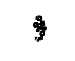 NC(=O)c1ccccc1-c1c(-c2cccnc2)noc1NC(=O)c1ccc(OC(F)(F)F)cc1